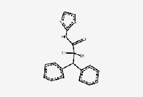 CCC(CC)(C(=O)Nc1nccs1)C(c1ccccc1)c1ccccc1